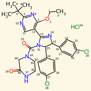 CCOc1nc(C(C)(C)C)ncc1C1=NC(c2ccc(Cl)cc2)C(c2ccc(Cl)cc2)N1C(=O)N1CCNC(=O)C1.Cl